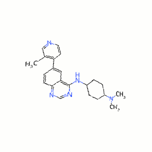 Cc1cnccc1-c1ccc2ncnc(NC3CCC(N(C)C)CC3)c2c1